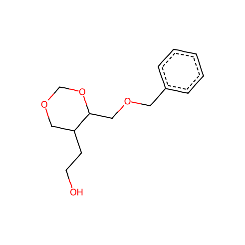 OCCC1COCOC1COCc1ccccc1